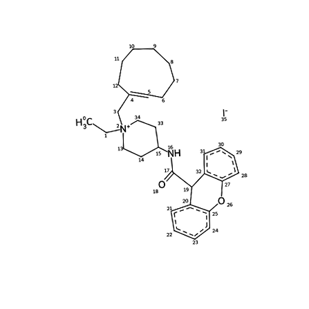 CC[N+]1(C/C2=C\CCCCCCC2)CCC(NC(=O)C2c3ccccc3Oc3ccccc32)CC1.[I-]